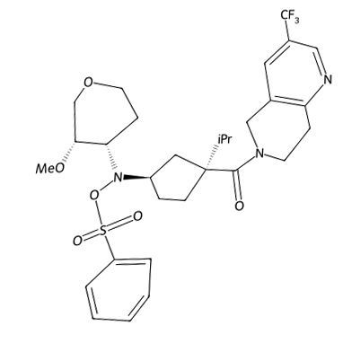 CO[C@@H]1COCC[C@@H]1N(OS(=O)(=O)c1ccccc1)[C@@H]1CC[C@@](C(=O)N2CCc3ncc(C(F)(F)F)cc3C2)(C(C)C)C1